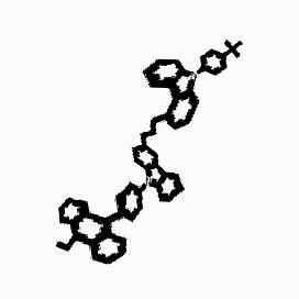 CCc1c2ccccc2c(-c2ccc(-n3c4ccccc4c4cc(CCCc5cccc6c5c5ccccc5n6-c5ccc(C(C)(C)C)cc5)ccc43)cc2)c2ccccc12